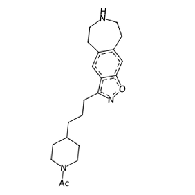 CC(=O)N1CCC(CCCc2noc3cc4c(cc23)CCNCC4)CC1